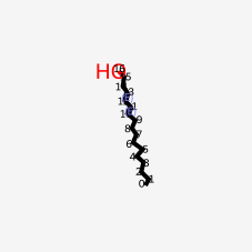 CCCCCCCCCC/C=C/C=C/CCO